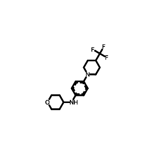 FC(F)(F)C1CCN(c2ccc(NC3CCOCC3)cc2)CC1